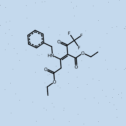 CCOC(=O)CC(NCc1ccccc1)=C(C(=O)OCC)C(=O)C(F)(F)F